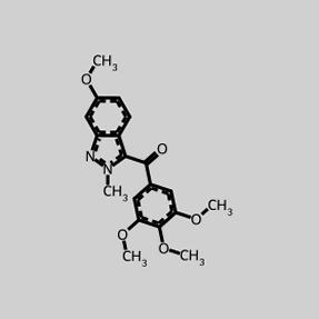 COc1ccc2c(C(=O)c3cc(OC)c(OC)c(OC)c3)n(C)nc2c1